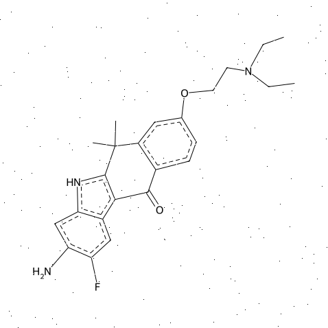 CCN(CC)CCOc1ccc2c(c1)C(C)(C)c1[nH]c3cc(N)c(F)cc3c1C2=O